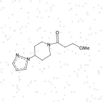 COCCC(=O)N1CCC(n2c[c]cn2)CC1